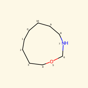 C1CCCCOCNCCC1